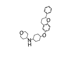 c1ccc(C2CCc3cc(OC4CCC(NC5CCOCC5)CC4)ccc3O2)cc1